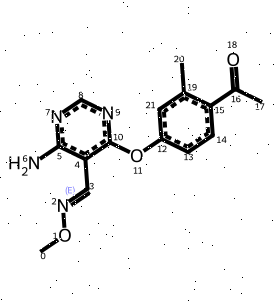 CO/N=C/c1c(N)ncnc1Oc1ccc(C(C)=O)c(C)c1